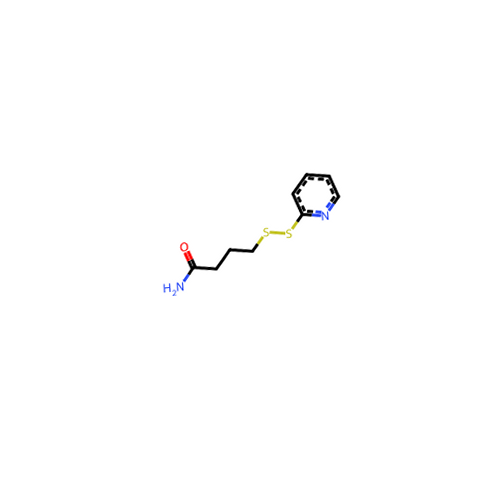 NC(=O)CCCSSc1ccccn1